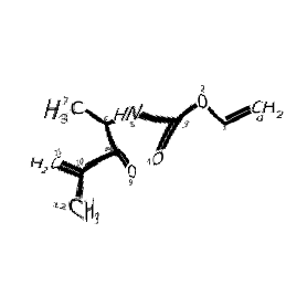 C=COC(=O)NC(C)C(=O)C(=C)C